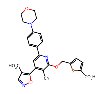 N#Cc1c(-c2oncc2C(=O)O)cc(-c2ccc(N3CCOCC3)cc2)nc1OCc1ccc(C(=O)O)s1